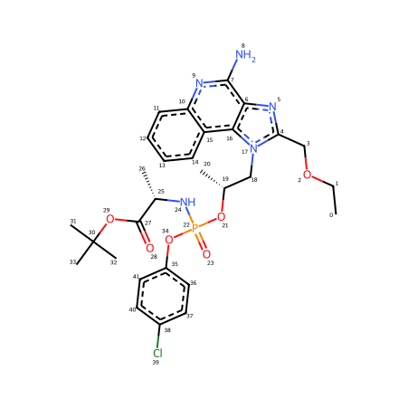 CCOCc1nc2c(N)nc3ccccc3c2n1C[C@@H](C)OP(=O)(N[C@@H](C)C(=O)OC(C)(C)C)Oc1ccc(Cl)cc1